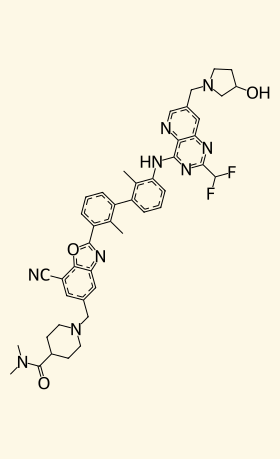 Cc1c(Nc2nc(C(F)F)nc3cc(CN4CCC(O)C4)cnc23)cccc1-c1cccc(-c2nc3cc(CN4CCC(C(=O)N(C)C)CC4)cc(C#N)c3o2)c1C